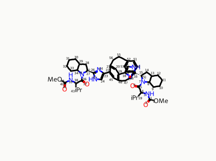 COC(=O)NC(C(=O)N1C2CCCCC2C[C@H]1c1nc(-c2cc3c(-c4c[nH]c([C@@H]5CC6CCCCC6N5C(=O)C(NC(=O)OC)C(C)C)n4)cc2CCc2ccc(cc2)CC3)c[nH]1)C(C)C